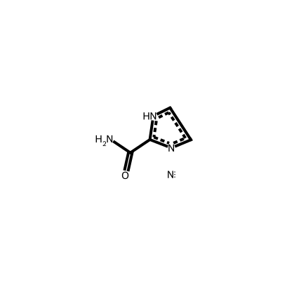 NC(=O)c1ncc[nH]1.[N]